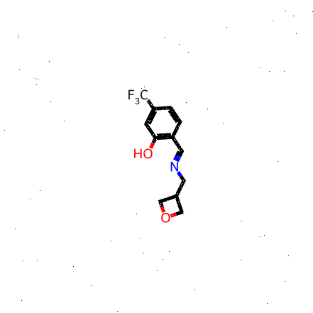 Oc1cc(C(F)(F)F)ccc1/C=N/CC1COC1